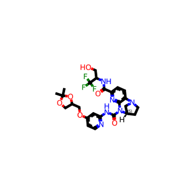 CC1(C)OCC(COc2ccnc(NC(=O)N3c4nc(C(=O)NC(CO)C(F)(F)F)ccc4N4CC[C@H]3C4)c2)O1